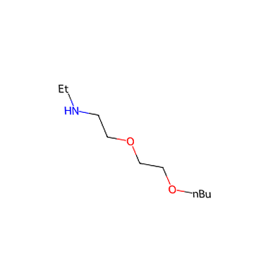 CCCCOCCOCCNCC